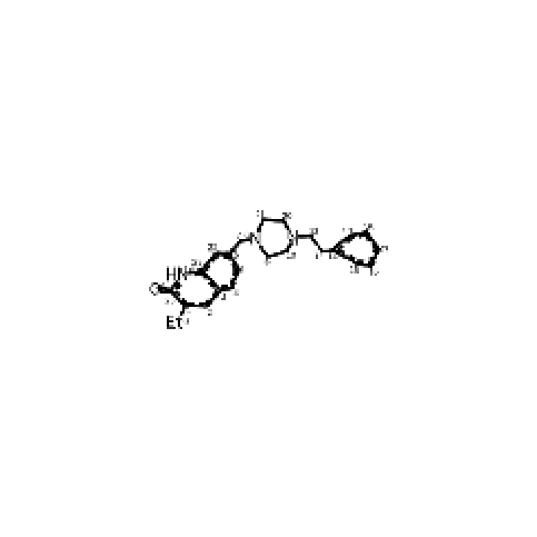 CCc1cc2ccc(CN3CCN(CCc4ccccc4)CC3)cc2[nH]c1=O